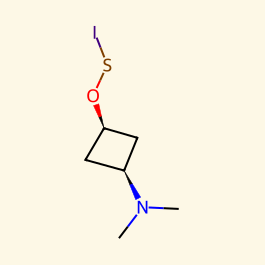 CN(C)[C@H]1C[C@@H](OSI)C1